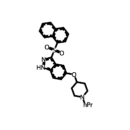 CCCN1CCC(Oc2ccc3[nH]nc(S(=O)(=O)c4cccc5ccccc45)c3c2)CC1